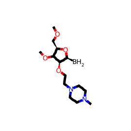 B[C@@H]1O[C@H](COC)C(OC)[C@@H]1OCCN1CCN(C)CC1